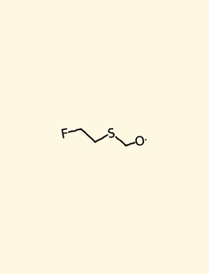 [O]CSCCF